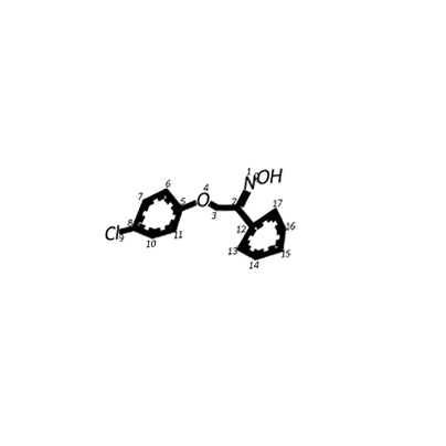 ON=C(COc1ccc(Cl)cc1)c1ccccc1